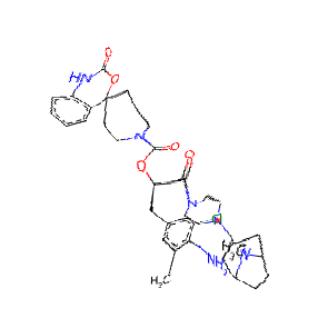 Cc1cc(C[C@@H](OC(=O)N2CCC3(CC2)OC(=O)Nc2ccccc23)C(=O)N2CCN(C3CC4CCC(C3)N4C)CC2)cc(Cl)c1N